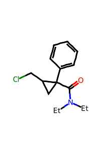 CCN(CC)C(=O)C1(c2ccccc2)CC1CCl